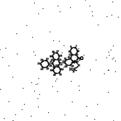 CCn1c(=O)c2ccccc2c2cc(-c3c4ccccc4c(-c4ccccc4)c4ccccc34)ccc21